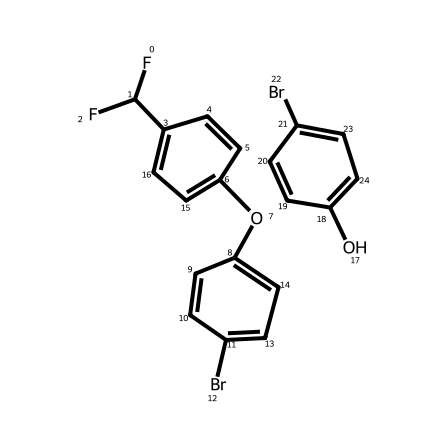 FC(F)c1ccc(Oc2ccc(Br)cc2)cc1.Oc1ccc(Br)cc1